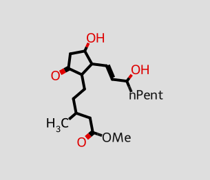 CCCCCC(O)C=CC1C(O)CC(=O)C1CCC(C)CC(=O)OC